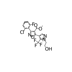 COC(=O)c1c(-c2c(F)c#ccc2Cl)noc1-c1cnn(CCO)c1C(F)(F)F